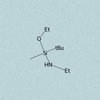 CCN[Si](C)(OCC)C(C)(C)C